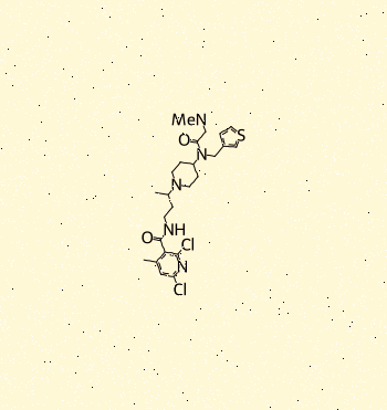 CNCC(=O)N(Cc1ccsc1)C1CCN(C(C)CCNC(=O)c2c(C)cc(Cl)nc2Cl)CC1